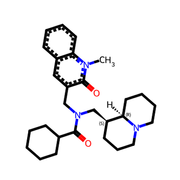 Cn1c(=O)c(CN(C[C@@H]2CCCN3CCCC[C@H]23)C(=O)C2CCCCC2)cc2ccccc21